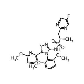 COc1cccc(-c2nnc(NS(=O)(=O)[C@H](C)Cc3ncc(F)cn3)n2-c2c(OC)cccc2OC)n1